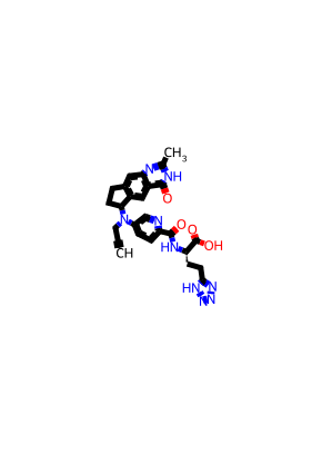 C#CCN(c1ccc(C(=O)N[C@@H](CCc2nnn[nH]2)C(=O)O)nc1)C1CCc2cc3nc(C)[nH]c(=O)c3cc21